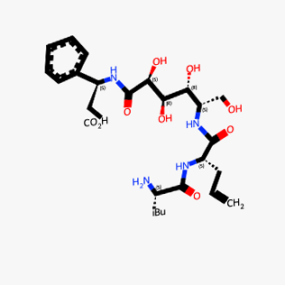 C=CC[C@H](NC(=O)[C@@H](N)C(C)CC)C(=O)N[C@@H](CO)[C@@H](O)[C@@H](O)[C@H](O)C(=O)N[C@@H](CC(=O)O)c1ccccc1